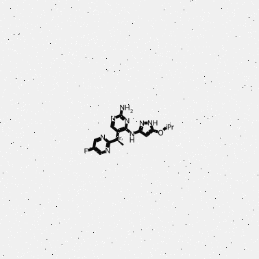 CC(C)Oc1cc(Nc2nc(N)ncc2[C@@H](C)c2ncc(F)cn2)n[nH]1